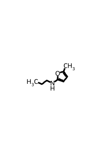 CCCNc1ccc(C)o1